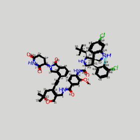 COc1cc(C(=O)NCC2=C(C#Cc3cccc4c3CN(C3CCC(=O)NC3=O)C4=O)CC(C)(C)OC2)ccc1NC(=O)[C@@H]1N[C@@H](CC(C)(C)C)[C@@]2(CNc3cc(Cl)ccc32)[C@H]1c1cccc(Cl)c1F